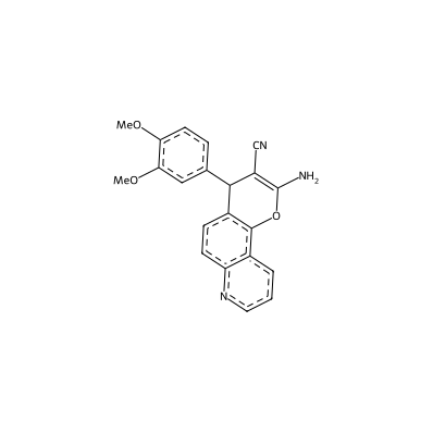 COc1ccc(C2C(C#N)=C(N)Oc3c2ccc2ncccc32)cc1OC